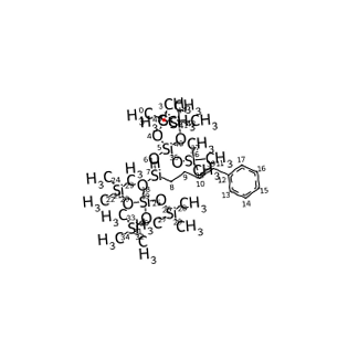 C[Si](C)(C)O[Si](O[SiH](CCC=Cc1ccccc1)O[Si](O[Si](C)(C)C)(O[Si](C)(C)C)O[Si](C)(C)C)(O[Si](C)(C)C)O[Si](C)(C)C